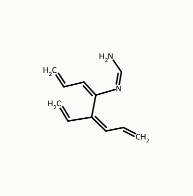 C=C\C=C(C=C)/C(=C\C=C)/N=C\N